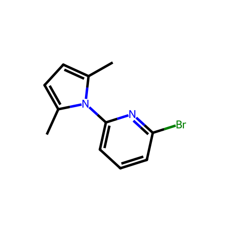 Cc1ccc(C)n1-c1cccc(Br)n1